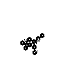 c1ccc(-c2ccc(-c3cc(-c4cccc(-c5nc6ccccc6c6c7ccccc7c7ccccc7c56)c4)cc(-c4ccc(-c5ccccn5)cc4)n3)nc2)cc1